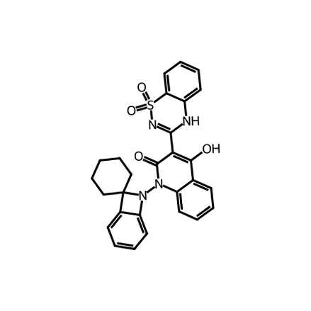 O=c1c(C2=NS(=O)(=O)c3ccccc3N2)c(O)c2ccccc2n1N1c2ccccc2C12CCCCC2